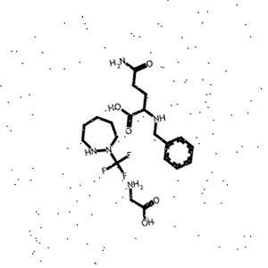 FC(F)(F)N1CCCCCN1.NC(=O)CCC(NCc1ccccc1)C(=O)O.NCC(=O)O